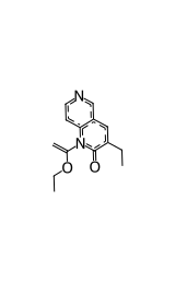 C=C(OCC)n1c(=O)c(CC)cc2cnccc21